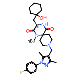 CCCCN1C(=O)[C@@H](CC2(O)CCCCC2)NC(=O)C12CCN(Cc1c(C)nn(-c3ccc(F)cc3)c1C)CC2